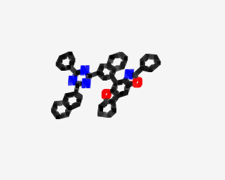 c1ccc(-c2nc(-c3ccc4ccccc4c3)nc(-c3cc(-c4c5nc(-c6ccccc6)oc5cc5c4oc4ccccc45)c4ccccc4c3)n2)cc1